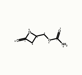 NC(=O)OCC1CC(=O)O1